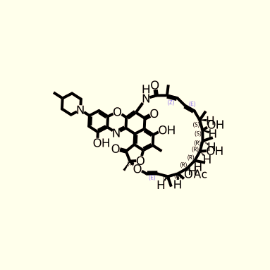 CC(=O)O[C@H]1[C@H](C)[C@H](O)[C@H](C)[C@@H](O)[C@@H](C)/C=C/C=C(/C)C(=O)Nc2c3oc4cc(N5CCC(C)CC5)cc(O)c4nc-3c3c4c(c(C)c(O)c3c2=O)O[C@](C)(O/C=C/[C@H](C)[C@H]1C)C4=O